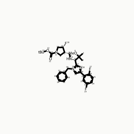 COC(C)(C)[C@@H](NC[C@@H]1CN(C(=O)OC(C)(C)C)C[C@@H]1F)c1nc(-c2cc(F)ccc2F)cn1Cc1ccccc1